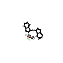 C1=C[CH]([Zr+2][CH]2C=Cc3ccccc32)c2ccccc21.C=C.C[O-].[Cl-]